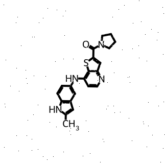 Cc1cc2cc(Nc3ccnc4cc(C(=O)N5CCCC5)sc34)ccc2[nH]1